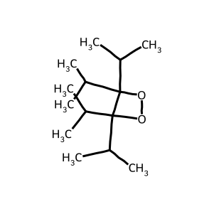 CC(C)C1(C(C)C)OOC1(C(C)C)C(C)C